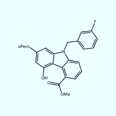 CCCCCc1cc(O)c2c3c(C(=O)OC)cccc3n(Cc3cccc(F)c3)c2c1